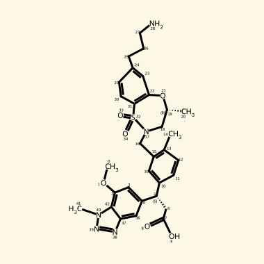 COc1cc([C@@H](CC(=O)O)c2ccc(C)c(CN3C[C@@H](C)Oc4cc(CCCN)ccc4S3(=O)=O)c2)cc2nnn(C)c12